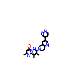 Cc1cc(=O)n2nc(N3CCc4ncc(-c5ccnnc5)cc4C3)c(C)c(C)c2n1